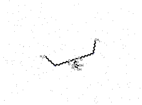 CCCCCCCC/C=C\CCCCCCCC(=O)OCCN(CCOC(=O)CCCCCCC/C=C\CCCCCCCC)C(=O)CS(C)(CCO)CCO